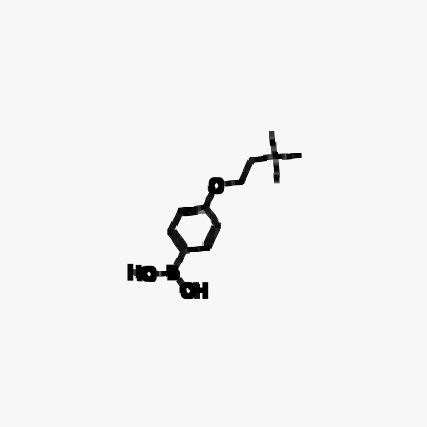 CC(C)(C)CCOc1ccc(B(O)O)cc1